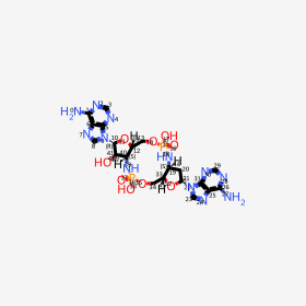 Nc1ncnc2c1ncn2[C@@H]1O[C@@H]2COP(=O)(O)N[C@H]3C[C@H](n4cnc5c(N)ncnc54)O[C@@H]3COP(=O)(O)N[C@H]2[C@H]1O